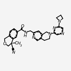 C[C@@]1(C#N)COCc2ccc(C(=O)NCc3cc4c(cn3)CCN(c3cncc(N5CCC5)n3)C4)cc21